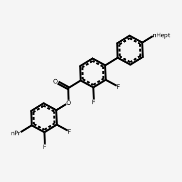 CCCCCCCc1ccc(-c2ccc(C(=O)Oc3ccc(CCC)c(F)c3F)c(F)c2F)cc1